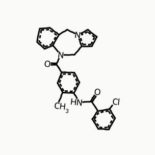 Cc1cc(C(=O)N2Cc3cccn3Cc3ccccc32)ccc1NC(=O)c1ccccc1Cl